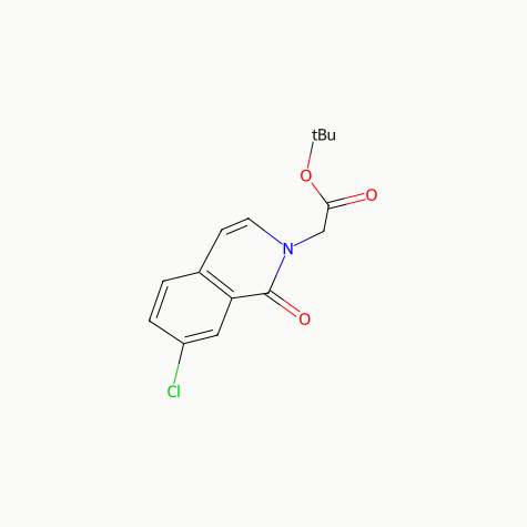 CC(C)(C)OC(=O)Cn1ccc2ccc(Cl)cc2c1=O